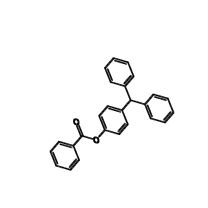 O=C(Oc1ccc(C(c2ccccc2)c2ccccc2)cc1)c1ccccc1